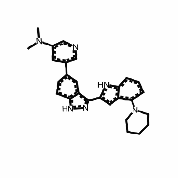 CN(C)c1cncc(-c2ccc3[nH]nc(-c4cc5c(N6CCCCC6)cccc5[nH]4)c3c2)c1